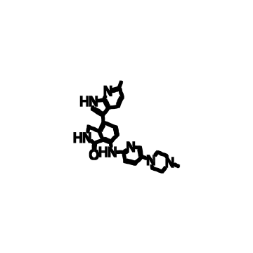 Cc1ccc2c(-c3ccc(Nc4ccc(N5CCN(C)CC5)cn4)c4c3CNC4=O)c[nH]c2n1